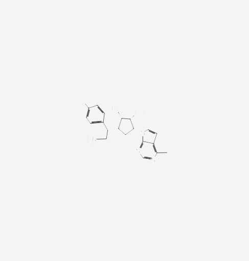 Cc1ncnc2c1ccn2[C@@H]1C[C@H](C(CN)c2ccc(F)cc2)[C@@H](O)[C@H]1O